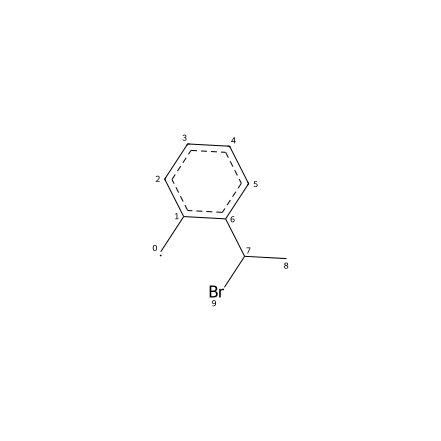 [CH2]c1ccccc1C(C)Br